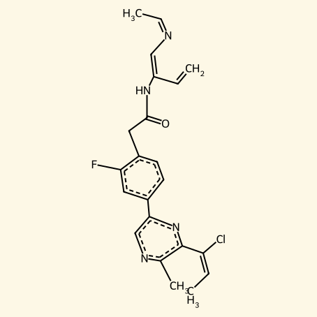 C=C/C(=C\N=C/C)NC(=O)Cc1ccc(-c2cnc(C)c(/C(Cl)=C\C)n2)cc1F